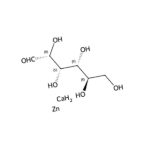 O=C[C@H](O)[C@@H](O)[C@H](O)[C@H](O)CO.[CaH2].[Zn]